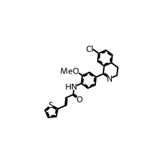 COc1cc(C2=NCCc3ccc(Cl)cc32)ccc1NC(=O)/C=C/c1cccs1